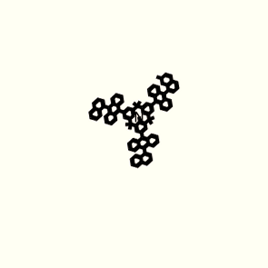 CC1C=Cc2cccc(-c3c4ccccc4c(-c4cc5c6c(c4)C(C)(C)c4cc(-c7c8ccccc8c(-c8cccc9ccccc89)c8ccccc78)cc7c4N6c4c(cc(-c6c8ccccc8c(-c8cccc9ccccc89)c8ccccc68)cc4C7(C)C)C5(C)C)c4ccccc34)c2C1